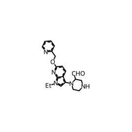 CCn1cc(N2CCNCC2C=O)c2ccc(OCc3ccccn3)nc21